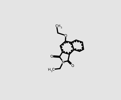 CCOc1cc2c(c3ccccc13)C(=O)N(CC)C2=O